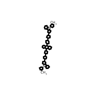 Cc1cccc(-n2c3ccccc3c3cc(-c4ccc(-c5ccc(-c6c7ccccc7c(-c7ccc(-c8ccc(-c9ccc%10c(c9)c9ccccc9n%10-c9cccc(C)c9)cc8)cc7)c7ccccc67)cc5)cc4)ccc32)c1